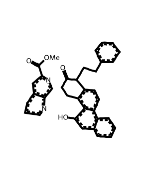 COC(=O)c1cc2cccnc2cn1.O=C1CCc2c(ccc3c2c(O)cc2ccccc23)C1CCc1ccccc1